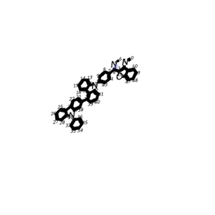 C=Nc1c(/C(=N\C)c2ccc(-n3c4ccccc4c4c(-c5ccc6c7ccccc7n(-c7ccccc7)c6c5)cccc43)cc2)oc2ccccc12